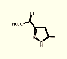 CCC(C(=O)O)C1=NNC(C)C1